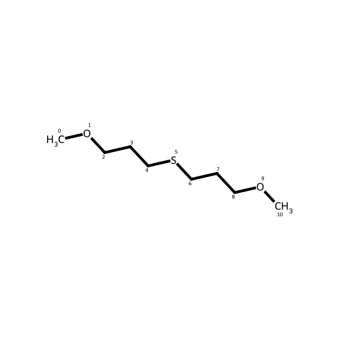 COCCCSCCCOC